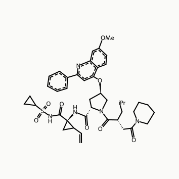 C=CC1C[C@]1(NC(=O)[C@@H]1C[C@@H](Oc2cc(-c3ccccc3)nc3cc(OC)ccc23)CN1C(=O)[C@@H](CC(=O)N1CCCCC1)CC(C)C)C(=O)NS(=O)(=O)C1CC1